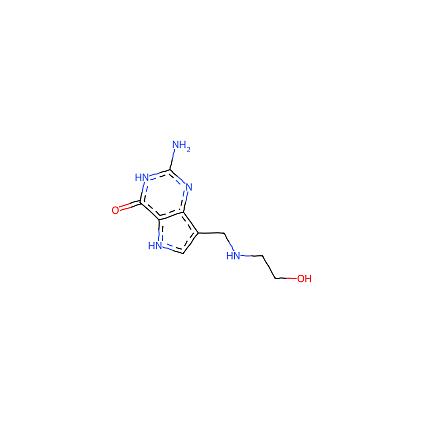 Nc1nc2c(CNCCO)c[nH]c2c(=O)[nH]1